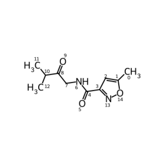 Cc1cc(C(=O)NCC(=O)C(C)C)no1